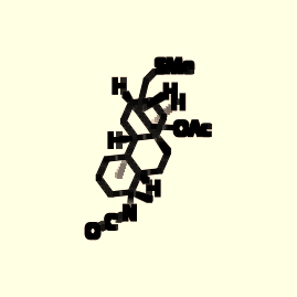 CSC[C@H]1[C@H]2CC[C@@]3(CC[C@H]4[C@@](C)(CCC[C@@]4(C)N=C=O)[C@@H]3C2)[C@@H]1OC(C)=O